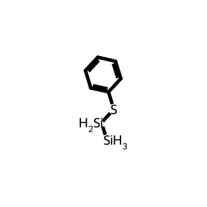 [SiH3][SiH2]Sc1ccccc1